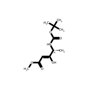 COC(=O)C=C(O)[C@@H](C)NC(=O)OC(C)(C)C